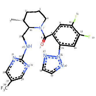 C[C@@H]1CCCN(C(=O)c2cc(F)c(F)cc2-n2nccn2)C1CNc1ncc(C(F)(F)F)cn1